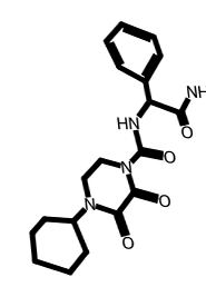 [NH]C(=O)C(NC(=O)N1CCN(C2CCCCC2)C(=O)C1=O)c1ccccc1